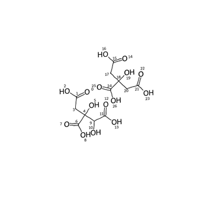 O=C(O)CC(O)(C(=O)O)C(O)C(=O)O.O=C(O)CC(O)(CC(=O)O)C(=O)O